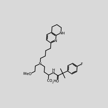 COCCN(CCCCc1ccc2c(n1)NCCC2)CCC(NC(=O)C(C)(C)c1ccc(F)cc1)C(=O)O